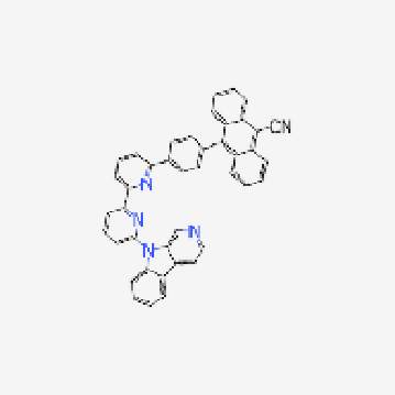 N#Cc1c2ccccc2c(-c2ccc(-c3cccc(-c4cccc(-n5c6ccccc6c6ccncc65)n4)n3)cc2)c2ccccc12